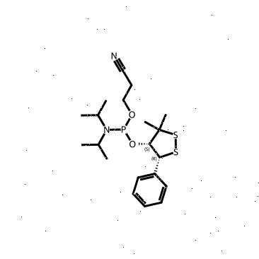 CC(C)N(C(C)C)P(OCCC#N)O[C@H]1[C@@H](c2ccccc2)SSC1(C)C